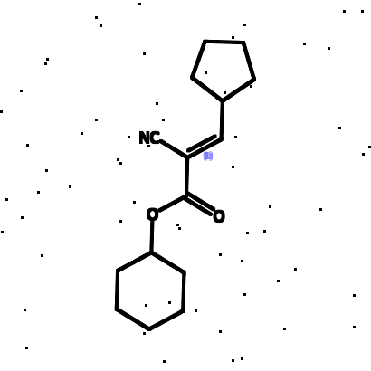 N#C/C(=C\C1CCCC1)C(=O)OC1CCCCC1